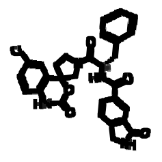 O=C1Nc2ccc(Cl)cc2C2(CCN(C(=O)[C@H](Cc3ccccc3)NC(=O)c3ccc4c(c3)C(=O)NC4)C2)O1